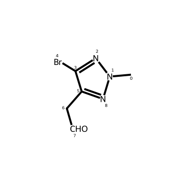 Cn1nc(Br)c(CC=O)n1